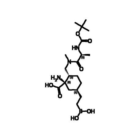 C[C@H](NC(=O)OC(C)(C)C)C(=O)N(C)C[C@@H]1CC[C@@H](CCB(O)O)C[C@]1(N)C(=O)O